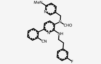 CNc1ccc(CN(C=O)c2ccc(-c3ccccc3C#N)nc2NCCc2cccc(F)c2)cn1